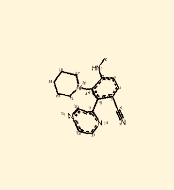 CNc1ccc(C#N)c(-c2cnccn2)c1N1CCCCC1